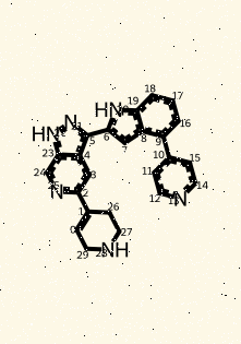 C1=C(c2cc3c(-c4cc5c(-c6ccncc6)cccc5[nH]4)n[nH]c3cn2)CCNC1